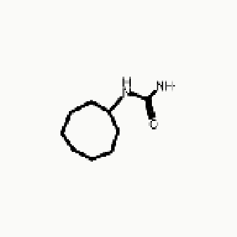 [NH]C(=O)NC1CCCCCCC1